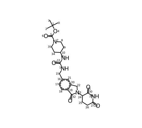 CC(C)(C)OC(=O)N1CCC(NC(=O)NCc2ccc3c(c2)CN(C2CCC(=O)NC2=O)C3=O)CC1